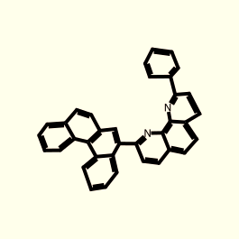 c1ccc(-c2ccc3ccc4ccc(-c5cc6ccc7ccccc7c6c6ccccc56)nc4c3n2)cc1